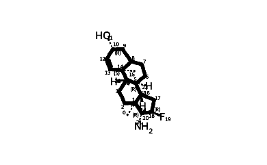 C[C@]12CC[C@H]3[C@@H](CCC4C[C@@H](O)C=C[C@@]43C)[C@@H]1C[C@@H](F)[C@@H]2N